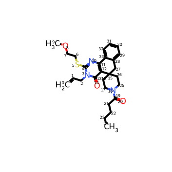 C=CCn1c(SCCOC)nc2c(c1=O)C1(CCN(C(=O)CCCC)CC1)Cc1ccccc1-2